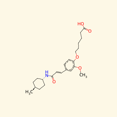 COc1cc(/C=C/C(=O)N[C@H]2CC[C@H](C)CC2)ccc1OCCCCCC(=O)O